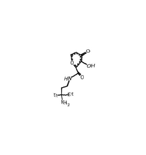 CCC(N)(CC)CCNC(=O)c1occc(=O)c1O